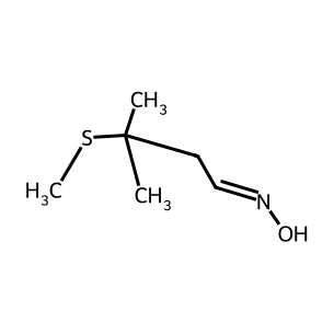 CSC(C)(C)CC=NO